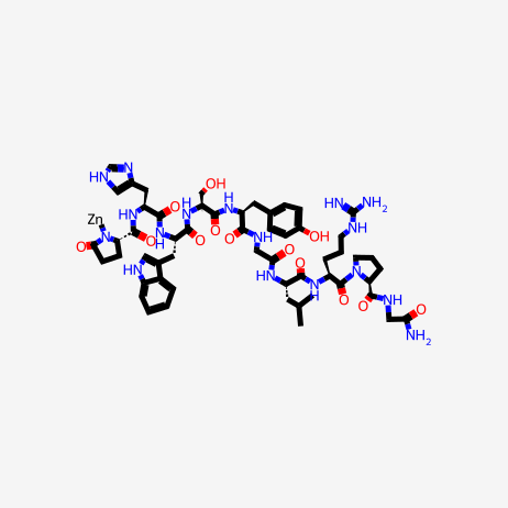 CC(C)C[C@H](NC(=O)CNC(=O)[C@H](Cc1ccc(O)cc1)NC(=O)[C@H](CO)NC(=O)[C@H](Cc1c[nH]c2ccccc12)NC(=O)[C@H](Cc1c[nH]cn1)NC(=O)[C@@H]1CCC(=O)[N]1[Zn])C(=O)N[C@@H](CCCNC(=N)N)C(=O)N1CCC[C@H]1C(=O)NCC(N)=O